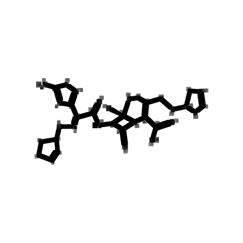 Nc1nc(C(=NOC2C=CCC2)C(=O)NC2C(=O)N3C(C(=O)O)=C(CSN4CN=CS4)CS[C@@H]23)ns1